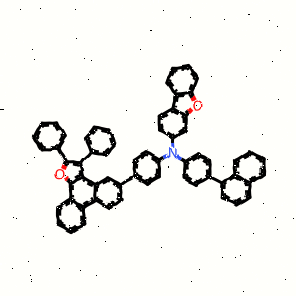 c1ccc(-c2oc3c4ccccc4c4ccc(-c5ccc(N(c6ccc(-c7cccc8ccccc78)cc6)c6ccc7c(c6)oc6ccccc67)cc5)cc4c3c2-c2ccccc2)cc1